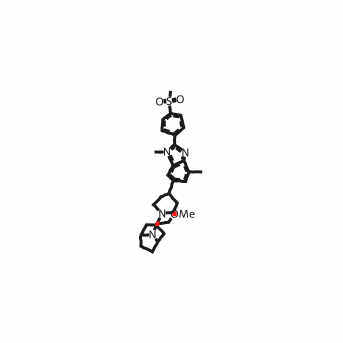 COCCN1C2CCC1CC(N1CCC(c3cc(C)c4nc(-c5ccc(S(C)(=O)=O)cc5)n(C)c4c3)CC1)C2